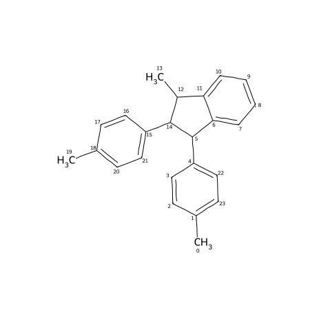 Cc1ccc(C2c3c[c]ccc3C(C)C2c2ccc(C)cc2)cc1